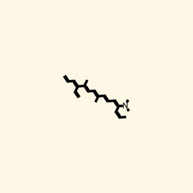 C=C/C=C(C=C)/C(C)=C/C=C(C)/C=C/C=C(\C=C/C)N(C)C